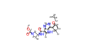 COCC(=O)N1C[C@H](C)[C@H](NC(=O)c2c(C)[nH]c3c(-c4cc(C)ccc4OCC4CC4)ncnc23)C1